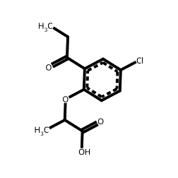 CCC(=O)c1cc(Cl)ccc1OC(C)C(=O)O